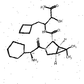 CC1(C)[C@@H]2[C@@H](C(=O)NC(CC3CCC3)C(O)C(N)=O)N(C(=O)[C@@H](N)C3CCCCC3)C[C@@H]21